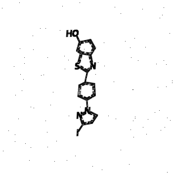 Oc1ccc2nc(-c3ccc(-n4ccc(I)n4)cc3)sc2c1